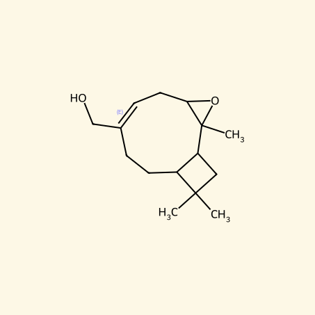 CC1(C)CC2C1CC/C(CO)=C\CC1OC12C